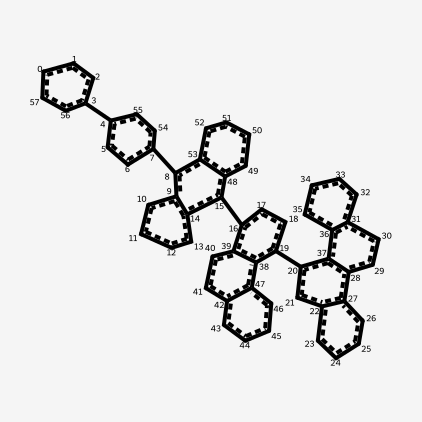 c1ccc(-c2ccc(-c3c4ccccc4c(-c4ccc(-c5cc6ccccc6c6ccc7ccccc7c56)c5c4ccc4ccccc45)c4ccccc34)cc2)cc1